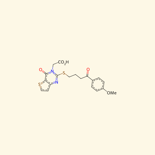 COc1ccc(C(=O)CCCSc2nc3ccsc3c(=O)n2CC(=O)O)cc1